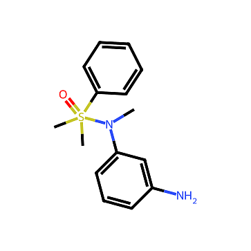 CN(c1cccc(N)c1)S(C)(C)(=O)c1ccccc1